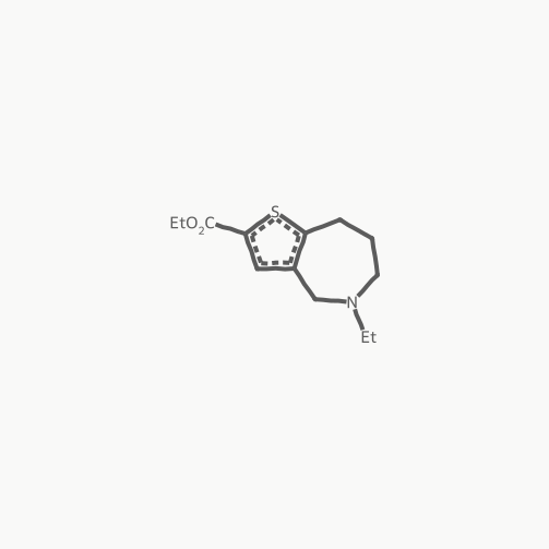 CCOC(=O)c1cc2c(s1)CCCN(CC)C2